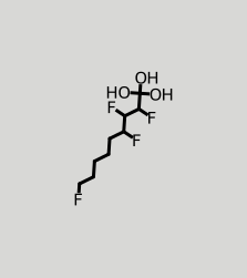 OC(O)(O)C(F)C(F)C(F)CCCCCF